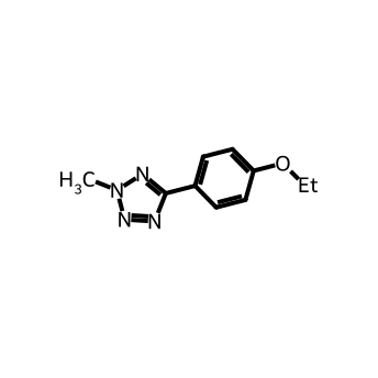 CCOc1ccc(-c2nnn(C)n2)cc1